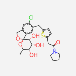 C[C@H]1O[C@]2(OCc3cc(Cl)c(Cc4ccc(CC(=O)N5CCCC5)s4)cc32)[C@H](O)[C@@H](O)[C@@H]1O